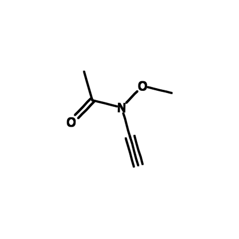 C#CN(OC)C(C)=O